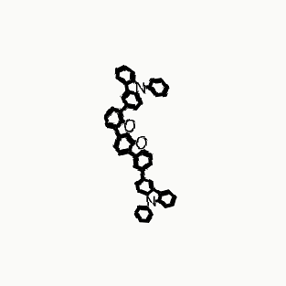 c1ccc(-n2c3ccccc3c3cc(-c4ccc5oc6c(ccc7c8cccc(-c9ccc%10c(c9)c9ccccc9n%10-c9ccccc9)c8oc76)c5c4)ccc32)cc1